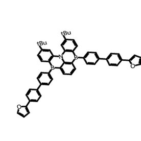 CC(C)(C)c1ccc2c(c1)N1c3cc(C(C)(C)C)ccc3B(c3ccc(-c4ccc(-c5ccco5)cc4)cc3)c3cccc(c31)B2c1ccc(-c2ccc(-c3ccco3)cc2)cc1